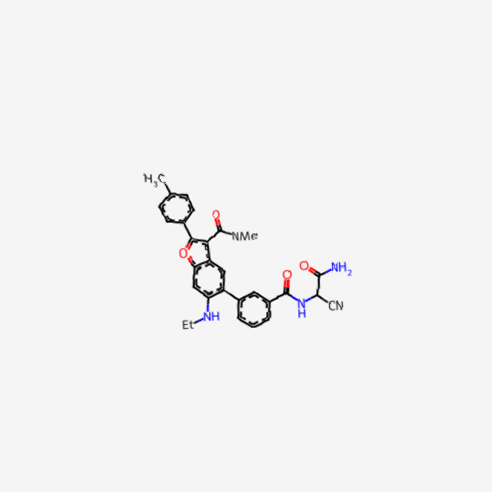 CCNc1cc2oc(-c3ccc(C)cc3)c(C(=O)NC)c2cc1-c1cccc(C(=O)NC(C#N)C(N)=O)c1